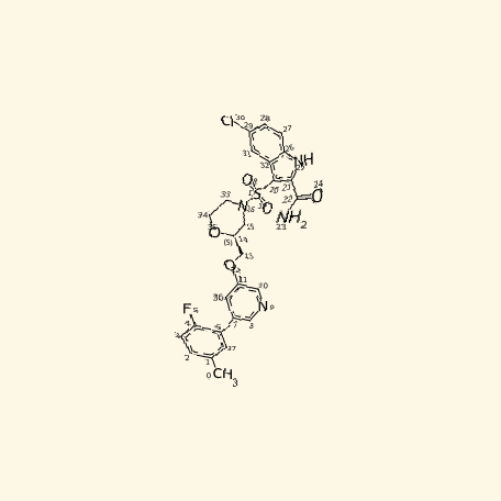 Cc1ccc(F)c(-c2cncc(OC[C@@H]3CN(S(=O)(=O)c4c(C(N)=O)[nH]c5ccc(Cl)cc45)CCO3)c2)c1